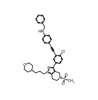 CS(=O)(=O)N1CCc2c(c(-c3ccc(Cl)c(C#Cc4ccc(NCc5ccccc5)cc4)c3)nn2CCCN2CCOCC2)C1